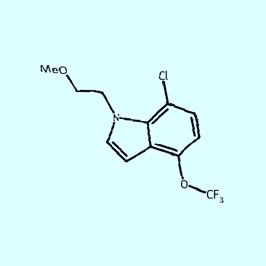 COCCn1ccc2c(OC(F)(F)F)ccc(Cl)c21